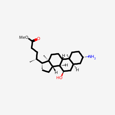 COC(=O)CC[C@@H](C)[C@H]1CC[C@H]2[C@@H]3[C@H](O)C[C@@H]4C[C@@H](N)CC[C@]4(C)[C@H]3CC[C@]12C